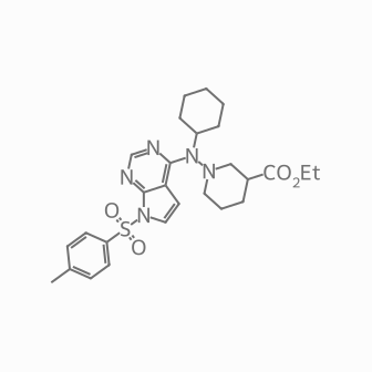 CCOC(=O)C1CCCN(N(c2ncnc3c2ccn3S(=O)(=O)c2ccc(C)cc2)C2CCCCC2)C1